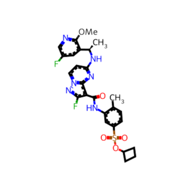 COc1ncc(F)cc1[C@@H](C)Nc1ccn2nc(F)c(C(=O)Nc3cc(S(=O)(=O)OC4CCC4)ccc3C)c2n1